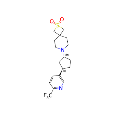 O=S1(=O)CC2(CCN([C@@H]3CC[C@@H](c4ccc(C(F)(F)F)nc4)C3)CC2)C1